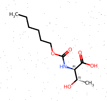 CCCCCCOC(=O)N[C@@H](C(=O)O)[C@H](C)O